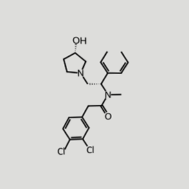 C/C=C\C(=C/C)[C@@H](CN1CC[C@H](O)C1)N(C)C(=O)Cc1ccc(Cl)c(Cl)c1